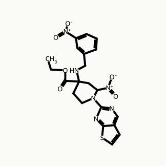 CCOC(=O)C1(NCc2cccc([N+](=O)[O-])c2)CCN(c2ncc3ccsc3n2)C([N+](=O)[O-])C1